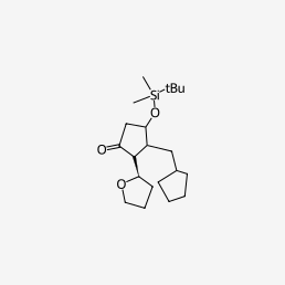 CC(C)(C)[Si](C)(C)OC1CC(=O)C([C@H]2CCCO2)C1CC1CCCC1